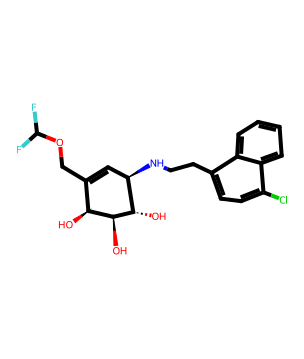 O[C@@H]1[C@@H](O)[C@@H](O)C(COC(F)F)=C[C@H]1NCCc1ccc(Cl)c2ccccc12